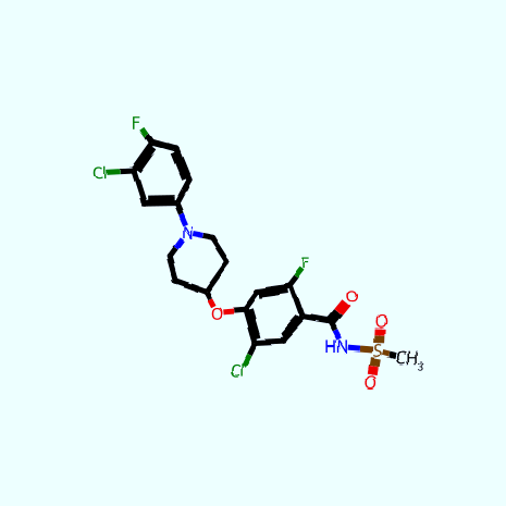 CS(=O)(=O)NC(=O)c1cc(Cl)c(OC2CCN(c3ccc(F)c(Cl)c3)CC2)cc1F